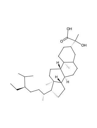 CC[C@H](CC[C@@H](C)[C@H]1CC[C@H]2[C@@H]3CCC4C[C@@H](C(C)(O)C(=O)O)CC[C@]4(C)[C@H]3CC[C@]12C)C(C)C